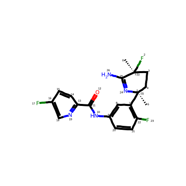 C[C@]1(F)CC[C@@](C)(c2cc(NC(=O)c3ccc(F)cn3)ccc2F)N=C1N